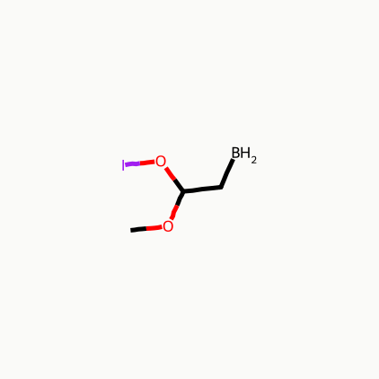 BCC(OC)OI